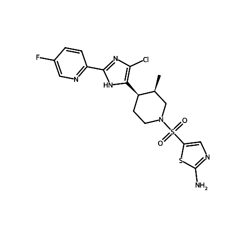 C[C@H]1CN(S(=O)(=O)c2cnc(N)s2)CC[C@H]1c1[nH]c(-c2ccc(F)cn2)nc1Cl